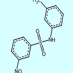 Cc1cccc(NS(=O)(=O)c2cccc(N=O)c2)c1